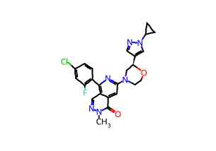 Cn1ncc2c(-c3ccc(Cl)cc3F)nc(N3CCO[C@H](c4cnn(C5CC5)c4)C3)cc2c1=O